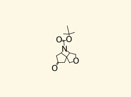 CC(C)(C)OC(=O)N1C2COCC23CC(=O)CC13